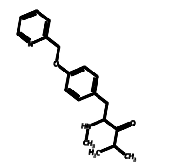 CNC(Cc1ccc(OCc2ccccn2)cc1)C(=O)C(C)C